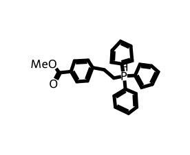 COC(=O)c1ccc(CC[PH](c2ccccc2)(c2ccccc2)c2ccccc2)cc1